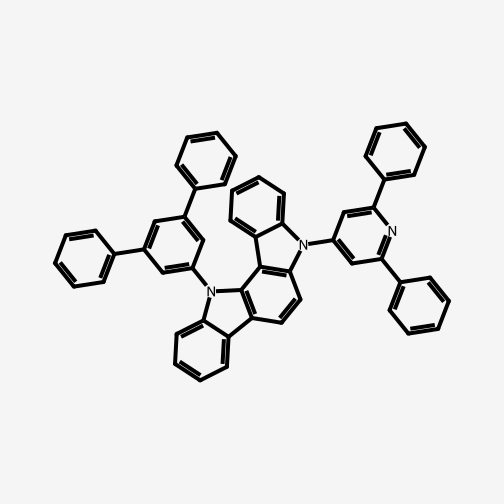 c1ccc(-c2cc(-c3ccccc3)cc(-n3c4ccccc4c4ccc5c(c6ccccc6n5-c5cc(-c6ccccc6)nc(-c6ccccc6)c5)c43)c2)cc1